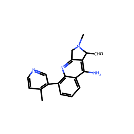 Cc1ccncc1-c1cccc2c(N)c3c(nc12)CN(C)C3C=O